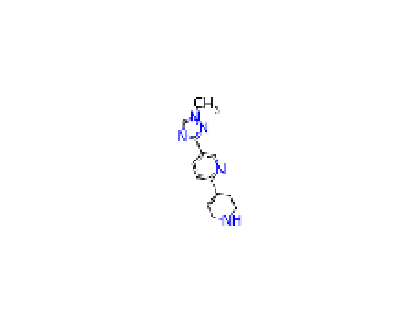 Cn1cnc(-c2ccc(C3=CCNCC3)nc2)n1